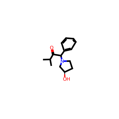 CC(C)C(=O)C(c1ccccc1)N1CC[C@@H](O)C1